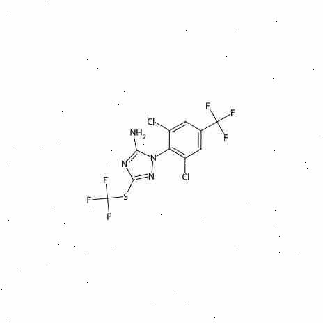 Nc1nc(SC(F)(F)F)nn1-c1c(Cl)cc(C(F)(F)F)cc1Cl